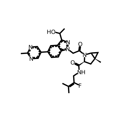 CC(C)=C(F)CNC(=O)[C@@H]1C[C@@]2(C)CC2N1C(=O)Cn1nc(C(C)O)c2cc(-c3cnc(C)nc3)ccc21